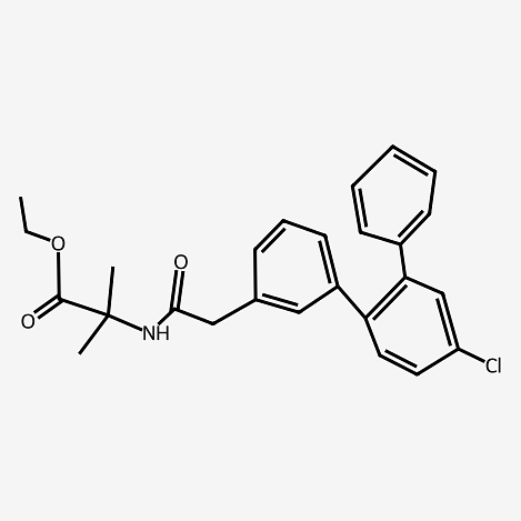 CCOC(=O)C(C)(C)NC(=O)Cc1cccc(-c2ccc(Cl)cc2-c2ccccc2)c1